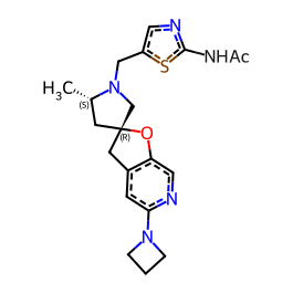 CC(=O)Nc1ncc(CN2C[C@@]3(Cc4cc(N5CCC5)ncc4O3)C[C@@H]2C)s1